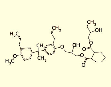 C=CCc1cc(C(C)(C)c2ccc(OCC(O)COC(=O)C3CCCCC3C(=O)OCC(O)CC)c(CC=C)c2)ccc1OC